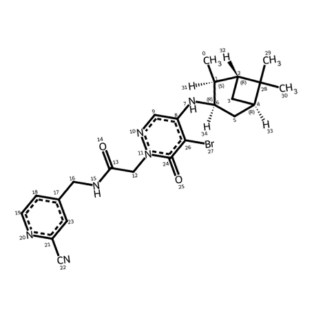 C[C@H]1[C@H]2C[C@H](C[C@H]1Nc1cnn(CC(=O)NCc3ccnc(C#N)c3)c(=O)c1Br)C2(C)C